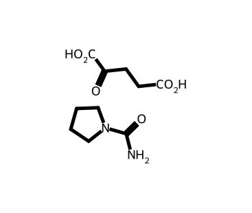 NC(=O)N1CCCC1.O=C(O)CCC(=O)C(=O)O